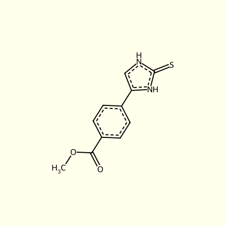 COC(=O)c1ccc(-c2c[nH]c(=S)[nH]2)cc1